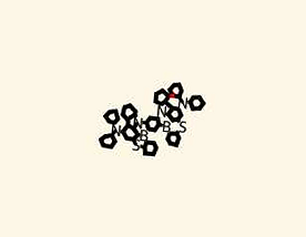 c1ccc(N(c2ccccc2)c2cc3c4c5c2c2ccccc2n5-c2cc5c(cc2B4c2ccccc2S3)B2c3ccccc3Sc3cc(N(c4ccccc4)c4ccccc4)c4c6ccccc6n-5c4c32)cc1